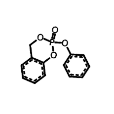 O=P1(Oc2ccccc2)OCc2ccccc2O1